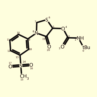 CC(C)(C)NC(=O)OC1SCN(c2cccc(S(C)(=O)=O)c2)C1=O